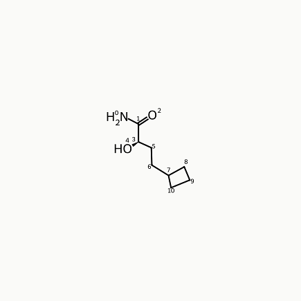 NC(=O)[C@H](O)CCC1CCC1